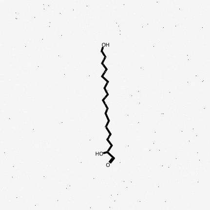 O=CC(O)CCCCCCCCCCCCCCCCO